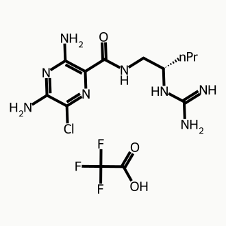 CCC[C@@H](CNC(=O)c1nc(Cl)c(N)nc1N)NC(=N)N.O=C(O)C(F)(F)F